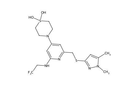 Cc1cc(SCc2cc(N3CCS(O)(O)CC3)cc(NCC(F)(F)F)n2)nn1C